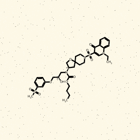 CCCCOC(=O)N(C[C@@H](O)COc1cccc(S(C)(=O)=O)c1)[C@H]1COC2(CCN(S(=O)(=O)c3cn(CC)c4ccccc4c3=O)CC2)C1